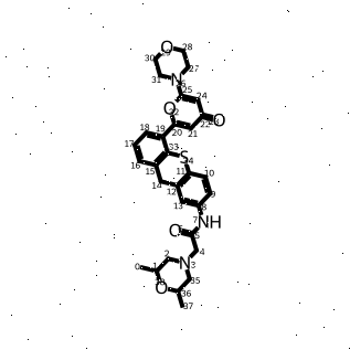 CC1CN(CC(=O)Nc2ccc3c(c2)Cc2cccc(-c4cc(=O)cc(N5CCOCC5)o4)c2S3)CC(C)O1